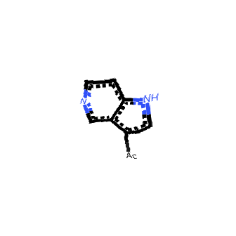 CC(=O)c1c[nH]c2ccncc12